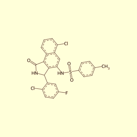 Cc1ccc(S(=O)(=O)Nc2cc3c(Cl)cccc3c3c2C(c2cc(F)ccc2Cl)NC3=O)cc1